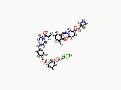 CCOc1cccc(OCCc2ccc(CN3CCN(C(=O)C=Cc4cc(C)c(Oc5ccc(OCc6cncs6)cn5)c(C)c4)CC3)cc2)c1.Cl